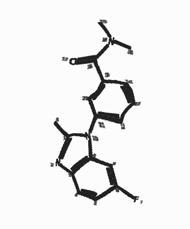 Cc1nc2ccc(F)cc2n1-c1cccc(C(=O)N(C)C)c1